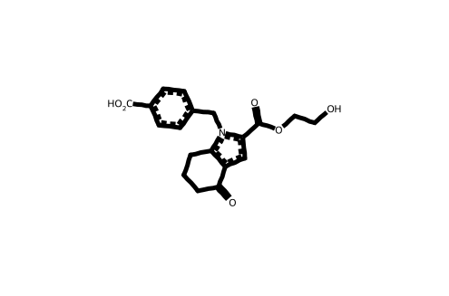 O=C(O)c1ccc(Cn2c(C(=O)OCCO)cc3c2CCCC3=O)cc1